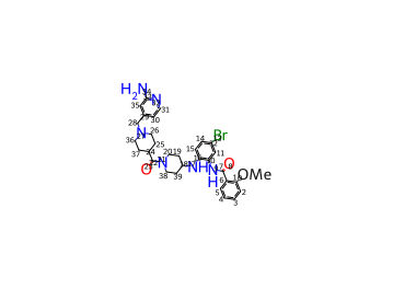 COc1ccccc1C(=O)Nc1cc(Br)ccc1NC1CCN(C(=O)C2CCN(Cc3ccnc(N)c3)CC2)CC1